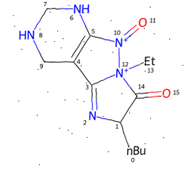 CCCCC1N=C2C3=C(NCNC3)[N+](=O)[N+]2(CC)C1=O